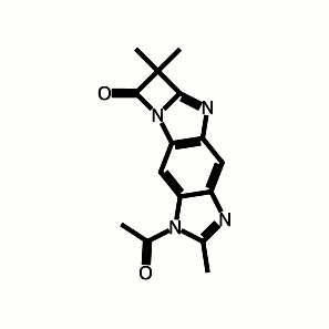 CC(=O)n1c(C)nc2cc3nc4n(c3cc21)C(=O)C4(C)C